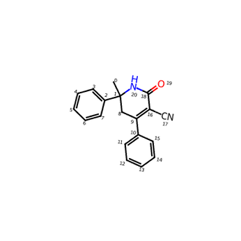 CC1(c2ccccc2)CC(c2ccccc2)=C(C#N)C(=O)N1